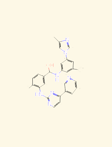 Cc1cn(-c2cc(NC(O)c3ccc(C)c(Nc4nccc(-c5cccnc5)n4)c3)cc(C(F)(F)F)c2)cn1